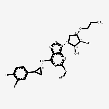 CCCSc1nc(N[C@@H]2CC2c2ccc(F)c(F)c2)c2nnn([C@@H]3C[C@H](OCCOC(C)=O)[C@@H](O)[C@H]3O)c2n1